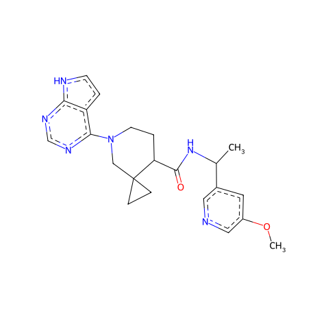 COc1cncc(C(C)NC(=O)C2CCN(c3ncnc4[nH]ccc34)CC23CC3)c1